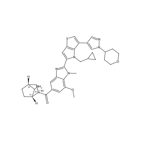 COc1cc(C(=O)N2C[C@H]3CC[C@@H]2[C@@H]3N)cc2nc(-c3cc4scc(-c5cnn(C6CCOCC6)c5)c4n3CC3CC3)n(C)c12